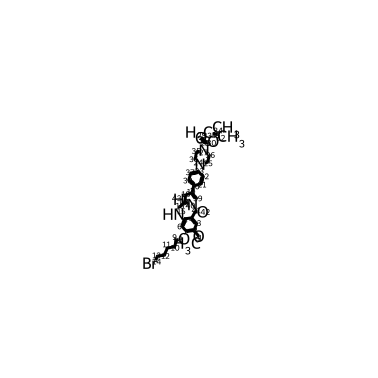 COc1cc2c(cc1OCCCCCBr)NC[C@@H]1CC(c3ccc(N4CCN(C(=O)OC(C)(C)C)CC4)cc3)=CN1C2=O